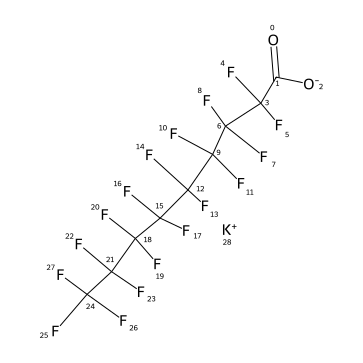 O=C([O-])C(F)(F)C(F)(F)C(F)(F)C(F)(F)C(F)(F)C(F)(F)C(F)(F)C(F)(F)F.[K+]